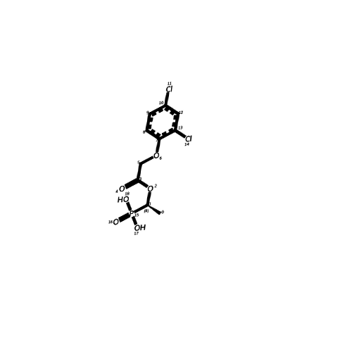 C[C@H](OC(=O)COc1ccc(Cl)cc1Cl)P(=O)(O)O